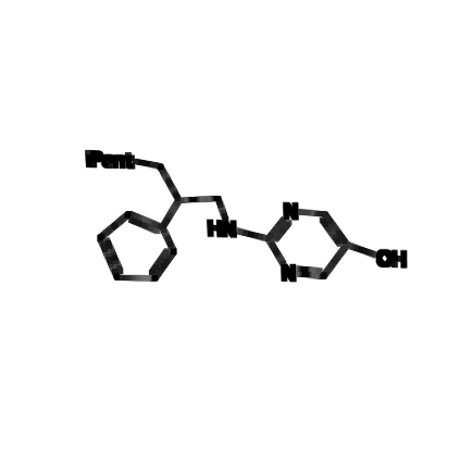 CCCC(C)CC(CNc1ncc(O)cn1)c1ccccc1